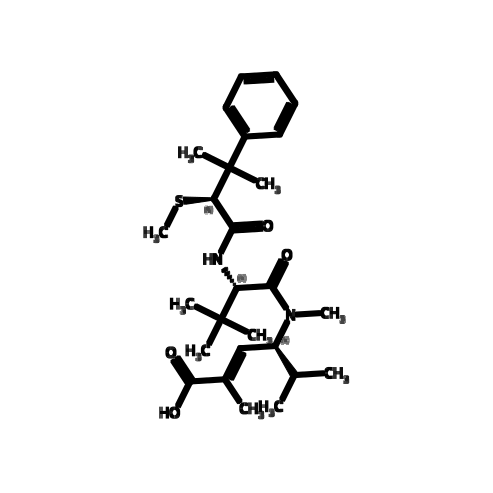 CS[C@H](C(=O)N[C@H](C(=O)N(C)[C@H](C=C(C)C(=O)O)C(C)C)C(C)(C)C)C(C)(C)c1ccccc1